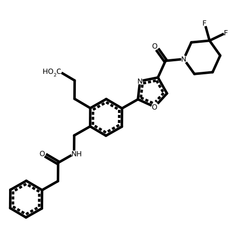 O=C(O)CCc1cc(-c2nc(C(=O)N3CCCC(F)(F)C3)co2)ccc1CNC(=O)Cc1ccccc1